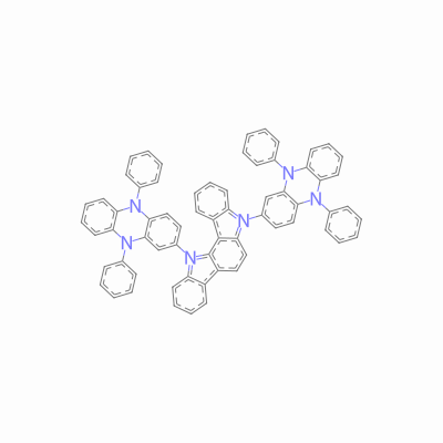 c1ccc(N2c3ccccc3N(c3ccccc3)c3cc(-n4c5ccccc5c5c4ccc4c6ccccc6n(-c6ccc7c(c6)N(c6ccccc6)c6ccccc6N7c6ccccc6)c45)ccc32)cc1